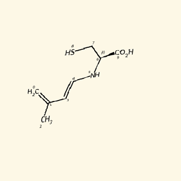 C=C(C)C=CN[C@@H](CS)C(=O)O